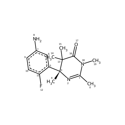 CC1=N[C@](C)(c2cc(N)ccc2F)C(C)(C)C(=O)N1C